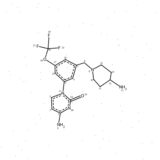 Nc1ccn(-c2cc(CN3CCC(N)CC3)cc(OC(F)(F)F)c2)c(=O)n1